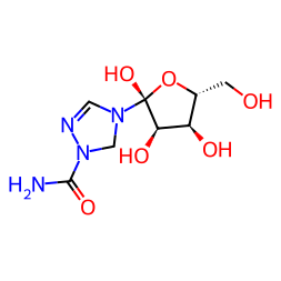 NC(=O)N1CN([C@]2(O)O[C@H](CO)[C@@H](O)[C@H]2O)C=N1